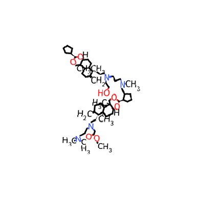 C=C1CCC2[C@]3(C)CO[C@@H](C4CCCC4)O[C@@H]3CC[C@@]2(C)[C@@H]1CCCN(CCO)CCCN(C)CC1CCCC1[C@@H]1OC[C@@]2(C)C3CCC(=C)[C@@H](CCN(CCCN(C)C)CC(=O)OCC)[C@]3(C)CC[C@H]2O1